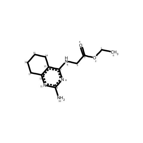 CCOC(=O)CNc1nc(N)nc2c1CCCC2